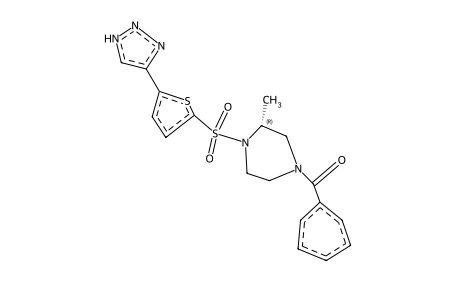 C[C@@H]1CN(C(=O)c2ccccc2)CCN1S(=O)(=O)c1ccc(-c2c[nH]nn2)s1